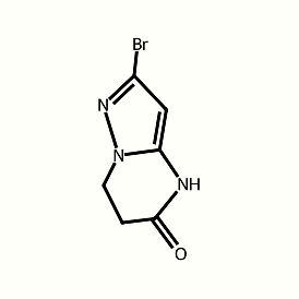 O=C1CCn2nc(Br)cc2N1